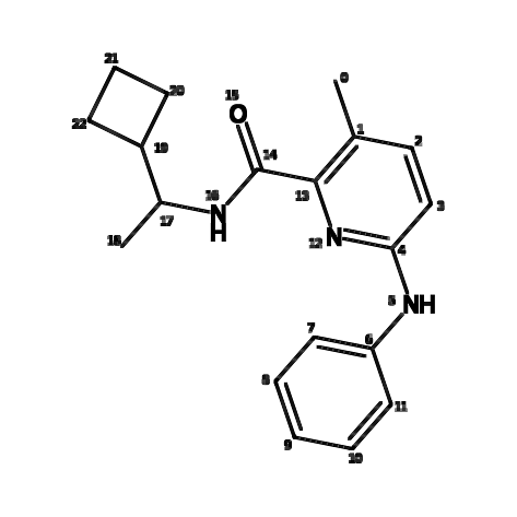 Cc1ccc(Nc2ccccc2)nc1C(=O)NC(C)C1CCC1